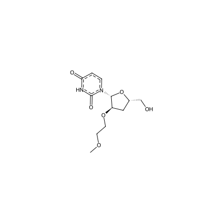 COCCO[C@@H]1C[C@@H](CO)O[C@H]1n1ccc(=O)[nH]c1=O